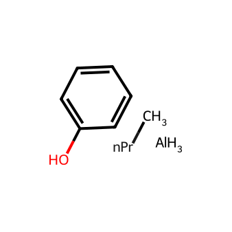 CCCC.Oc1ccccc1.[AlH3]